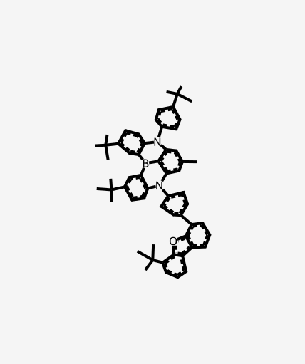 Cc1cc2c3c(c1)N(c1ccc(C(C)(C)C)cc1)c1ccc(C(C)(C)C)cc1B3c1cc(C(C)(C)C)ccc1N2c1ccc(-c2cccc3c2oc2c(C(C)(C)C)cccc23)cc1